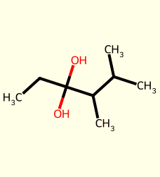 CCC(O)(O)C(C)C(C)C